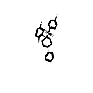 O=S(=O)(c1ccc(Cl)cc1)[C@]1(c2cc(F)ccc2F)CC[C@H](c2ccccc2)CC1